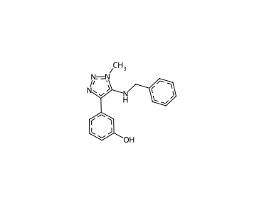 Cn1nnc(-c2cccc(O)c2)c1NCc1ccccc1